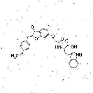 COc1ccc(/C=C2\Oc3cc(OCC(=O)N[C@H](Cc4c[nH]c5ccccc45)C(=O)O)ccc3C2=O)cc1